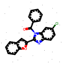 O=C(c1ccccc1)n1c(-c2cc3ccccc3o2)nc2ccc(Cl)cc21